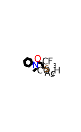 CC(=O)SCC(C(=O)N(C1CCCCC1)[C@H](C)C(=O)O)C(F)(F)F